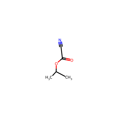 CC(C)OC(=O)C#N